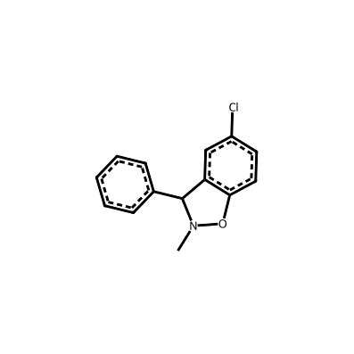 CN1Oc2ccc(Cl)cc2C1c1ccccc1